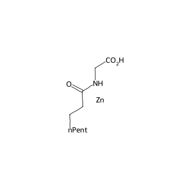 CCCCCCCC(=O)NCC(=O)O.[Zn]